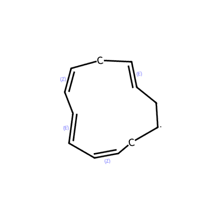 [CH]1C\C=C/C=C/C=C\C/C=C/C1